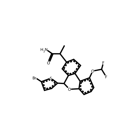 CC(C(N)=O)c1ccc2c(c1)C(c1ccc(Br)s1)Oc1cccc(OC(F)F)c1-2